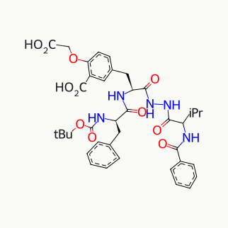 CC(C)C(NC(=O)c1ccccc1)C(=O)NNC(=O)[C@H](Cc1ccc(OCC(=O)O)c(C(=O)O)c1)NC(=O)[C@@H](Cc1ccccc1)NC(=O)OC(C)(C)C